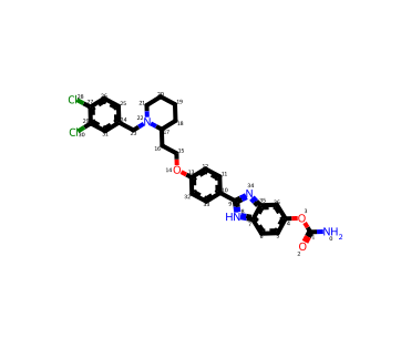 NC(=O)Oc1ccc2[nH]c(-c3ccc(OCCC4CCCCN4Cc4ccc(Cl)c(Cl)c4)cc3)nc2c1